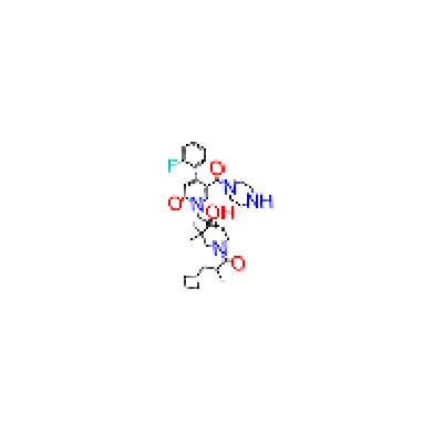 CC(CC1CCC1)C(=O)N1CC[C@](O)(Cn2cc(C(=O)N3CCNCC3)c(-c3ccccc3F)cc2=O)C(C)(C)C1